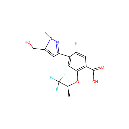 C[C@H](Oc1cc(-c2cc(CO)n(C)n2)c(F)cc1C(=O)O)C(F)(F)F